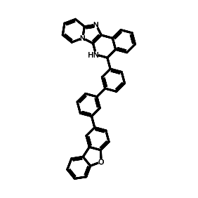 c1cc(-c2cccc(C3Nc4c(nc5ccccn45)-c4ccccc43)c2)cc(-c2ccc3oc4ccccc4c3c2)c1